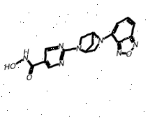 O=C(NO)c1cnc(N2CC3CC2CN3c2cccc3nonc23)nc1